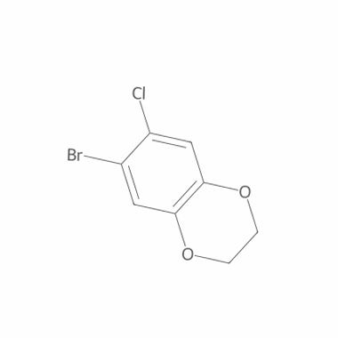 Clc1cc2c(cc1Br)OCCO2